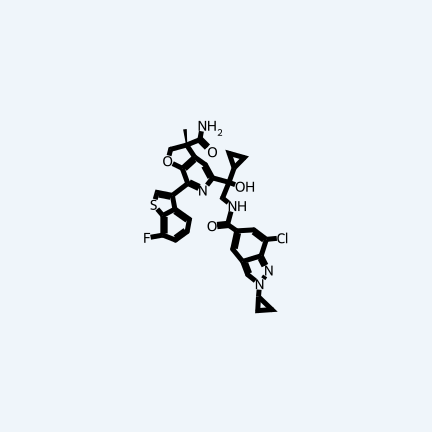 C[C@]1(C(N)=O)COc2c1cc(C(O)(CNC(=O)c1cc(Cl)c3nn(C4CC4)cc3c1)C1CC1)nc2-c1csc2c(F)cccc12